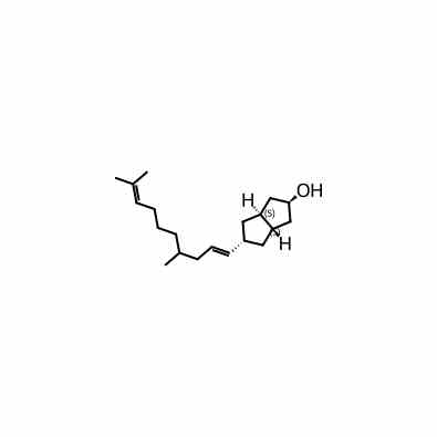 CC(C)=CCCCC(C)CC=C[C@H]1C[C@H]2C[C@H](O)C[C@@H]2C1